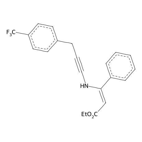 CCOC(=O)/C=C(\NC#CCc1ccc(C(F)(F)F)cc1)c1ccccc1